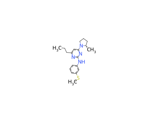 CCCc1cc(N2CCC[C@H]2C)nc(Nc2cccc(SC)c2)n1